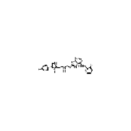 Fc1ccc(-c2cnc(CCNCCc3nc4c(NCc5ncccc5F)ncnc4s3)[nH]2)cc1